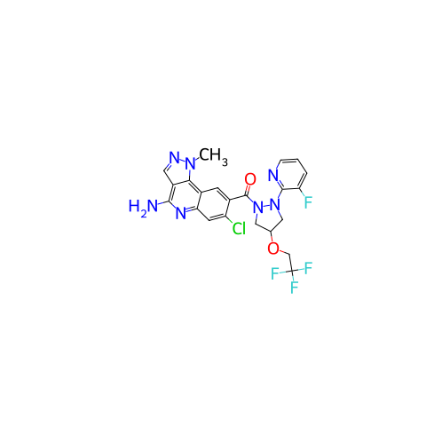 Cn1ncc2c(N)nc3cc(Cl)c(C(=O)N4CC(OCC(F)(F)F)CN4c4ncccc4F)cc3c21